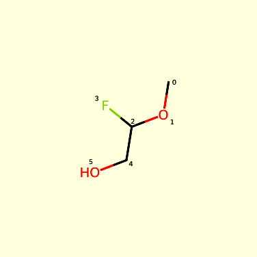 COC(F)CO